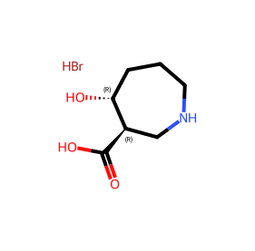 Br.O=C(O)[C@@H]1CNCCC[C@H]1O